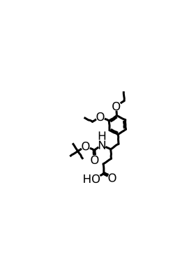 CCOc1ccc(CC(CCC(=O)O)NC(=O)OC(C)(C)C)cc1OCC